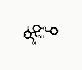 OCc1cccc(F)c1C1(CO)CCCC(OCc2ccccc2)C1